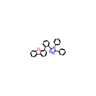 c1ccc(-c2nnc(-c3ccccc3-c3cccc4c3oc3ccccc34)n2-c2ccccc2)cc1